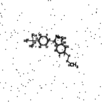 CCCc1ccc2c(-c3ccc(C(F)(F)F)cc3)nsc2c1